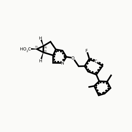 Cc1cccc(C)c1-c1ccc(F)c(COc2cc3c(cn2)[C@H]2[C@@H](C3)[C@@H]2C(=O)O)c1